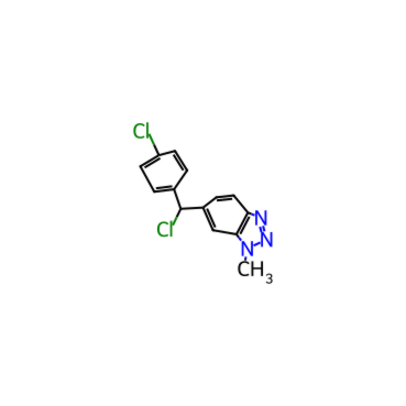 Cn1nnc2ccc(C(Cl)c3ccc(Cl)cc3)cc21